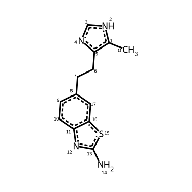 Cc1[nH]cnc1CCc1ccc2nc(N)sc2c1